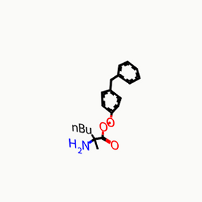 CCCCC(C)(N)C(=O)OOc1ccc(Cc2ccccc2)cc1